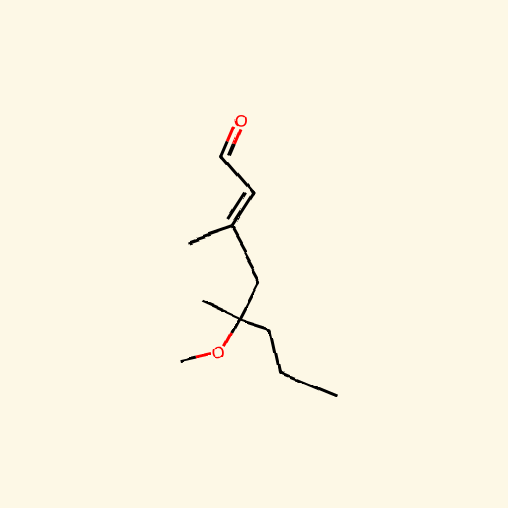 CCCC(C)(C/C(C)=C/C=O)OC